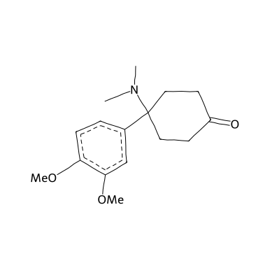 COc1ccc(C2(N(C)C)CCC(=O)CC2)cc1OC